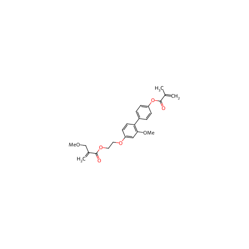 C=C(C)C(=O)Oc1ccc(-c2ccc(OCCOC(=O)C(=C)COC)cc2OC)cc1